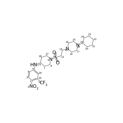 O=[N+]([O-])c1ccc(NC2CCN(S(=O)(=O)CCN3CCN(C4CCCCC4)CC3)CC2)cc1C(F)(F)F